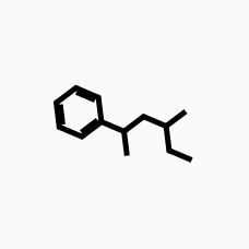 CCC(C)CC(C)c1ccccc1